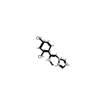 CO/C(=C\n1cncn1)c1ccc(Cl)cc1Cl